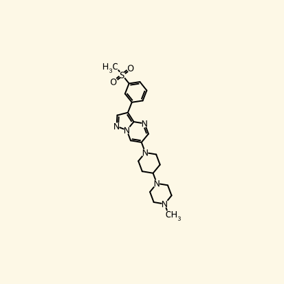 CN1CCN(C2CCN(c3cnc4c(-c5cccc(S(C)(=O)=O)c5)cnn4c3)CC2)CC1